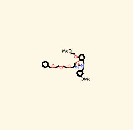 COCCOc1cccc(CN(Cc2cccc(OC)c2)c2nc(COCCOCCOCc3ccccc3)co2)c1